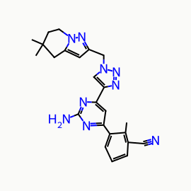 Cc1c(C#N)cccc1-c1cc(-c2cn(Cc3cc4n(n3)CCC(C)(C)C4)nn2)nc(N)n1